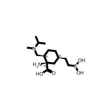 CC(C)N(C)C[C@H]1CC[C@@H](CCB(O)O)C[C@]1(N)C(=O)O